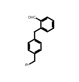 CC(C)Cc1ccc([CH]c2ccccc2C=O)cc1